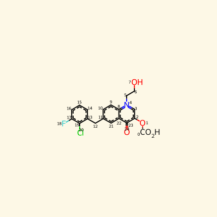 O=C(O)Oc1cn(CCO)c2ccc(Cc3cccc(F)c3Cl)cc2c1=O